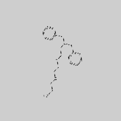 PCCOCCOCCN(Cc1ccccc1)Cc1ccccc1